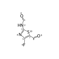 O=CNc1nc(F)c(C=O)s1